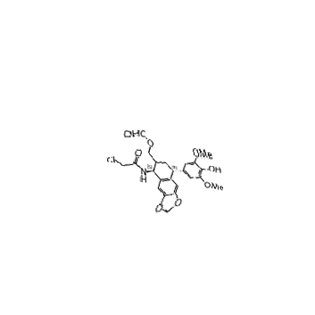 COc1cc([C@H]2CC(COC=O)[C@H](NC(=O)CCl)c3cc4c(cc32)OCO4)cc(OC)c1O